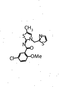 COc1ccc(Cl)cc1C(=O)N=c1sc(C)cn1Cc1nccs1